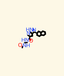 CC(=O)NCCNC(=O)c1cnc2[nH]nc(-c3ccc4ccccc4c3)c2c1